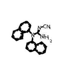 N#CN=C(N)N(c1cccc2ccccc12)c1cccc2ccccc12